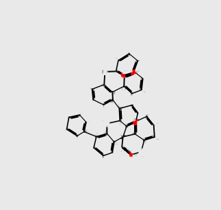 c1ccc(Nc2cccc(-c3cccc4c3Sc3c(-c5ccccc5)cccc3C43c4ccccc4Sc4ccccc43)c2-c2ccccc2)cc1